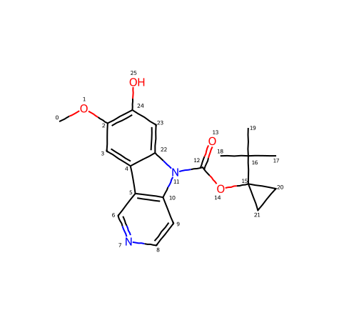 COc1cc2c3cnccc3n(C(=O)OC3(C(C)(C)C)CC3)c2cc1O